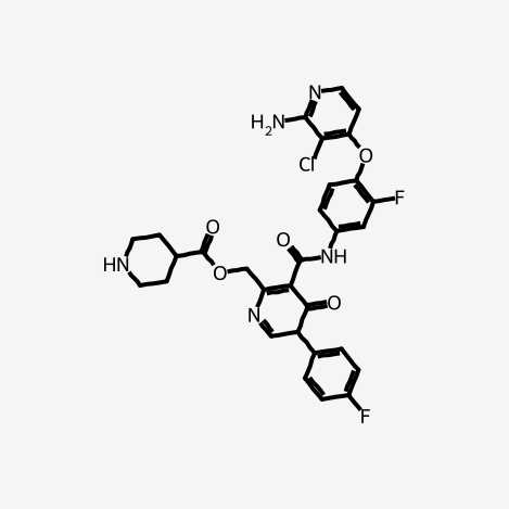 Nc1nccc(Oc2ccc(NC(=O)C3=C(COC(=O)C4CCNCC4)N=CC(c4ccc(F)cc4)C3=O)cc2F)c1Cl